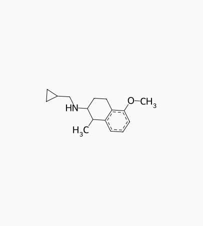 COc1cccc2c1CCC(NCC1CC1)C2C